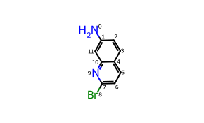 Nc1ccc2ccc(Br)nc2c1